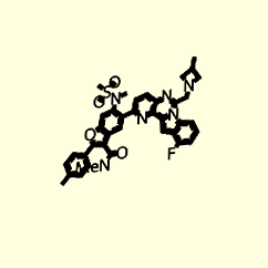 CNC(=O)c1c(-c2ccc(C)cc2)oc2cc(N(C)S(C)(=O)=O)c(-c3ccc4nc(CN5CC(C)C5)n5c6cccc(F)c6cc5c4n3)cc12